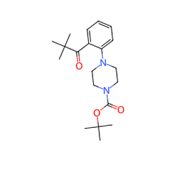 CC(C)(C)OC(=O)N1CCN(c2ccccc2C(=O)C(C)(C)C)CC1